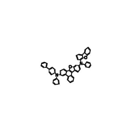 c1ccc(-c2ccc(N(c3ccccc3)c3ccc4c(c3)c3ccccc3c3c5ccc(N(c6ccccc6)c6cccc7c6oc6ccccc67)cc5oc43)cc2)cc1